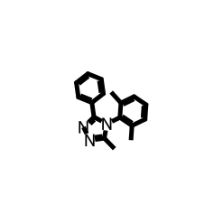 Cc1cccc(C)c1-n1c(C)nnc1-c1ccccc1